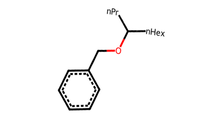 CCCCCCC(CCC)OCc1ccccc1